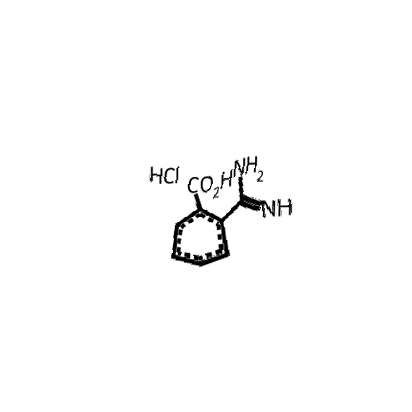 Cl.N=C(N)c1ccccc1C(=O)O